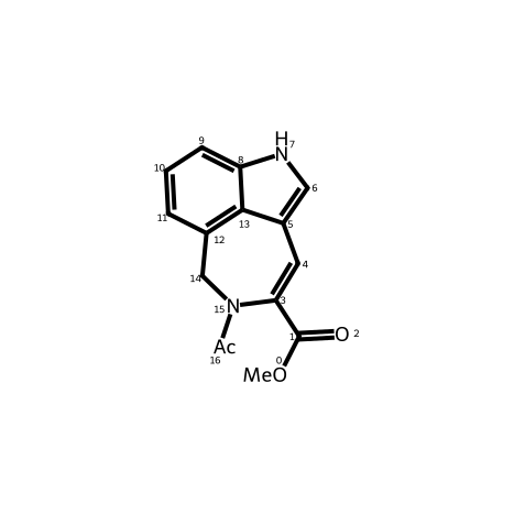 COC(=O)C1=Cc2c[nH]c3cccc(c23)CN1C(C)=O